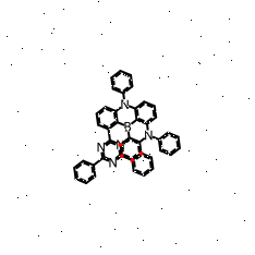 c1ccc(-c2nc(-c3ccccc3)nc(-c3cccc4c3B3c5ccccc5N(c5ccccc5)c5cccc(c53)N4c3ccccc3)n2)cc1